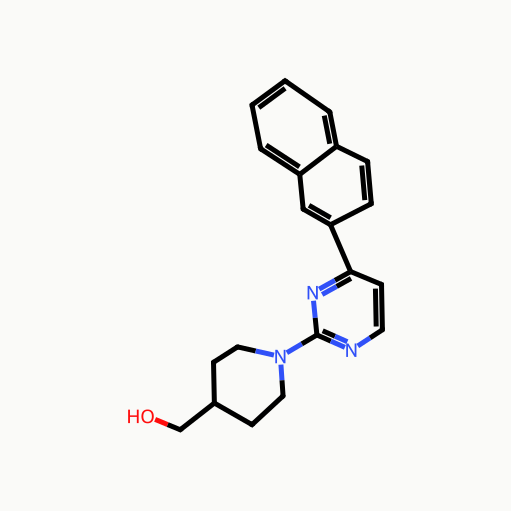 OCC1CCN(c2nccc(-c3ccc4ccccc4c3)n2)CC1